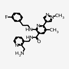 Cc1cc(C(=O)NCc2cccnc2CN)c(NCCc2cccc(F)c2)nc1-c1cnn(C)c1